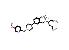 C=CC(CCC=O)N(C)Cc1cc(C2CCN(Cc3ccc(OC(C)C)cn3)CC2)ccc1C=O